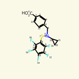 O=C(O)c1ccc(CN(Sc2c(F)c(F)c(F)c(F)c2F)C2CC2)cc1